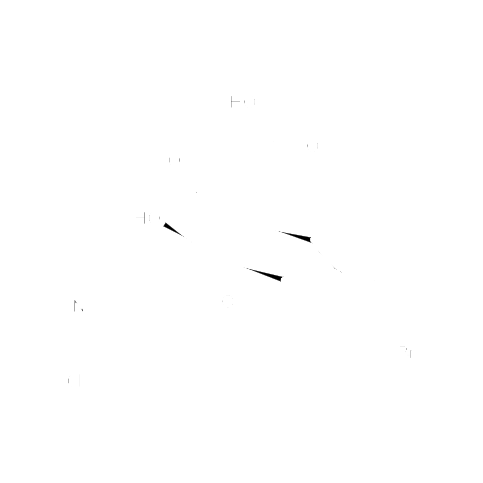 O=C(O)[C@H]1C(=O)[C@@]2(O)c3cnc(Cl)cc3O[C@@]2(c2ccc(Br)cc2)[C@@H]1c1ccccc1